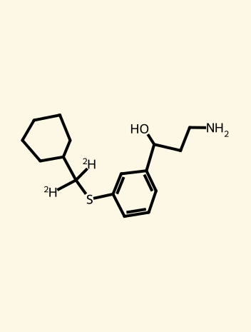 [2H]C([2H])(Sc1cccc(C(O)CCN)c1)C1CCCCC1